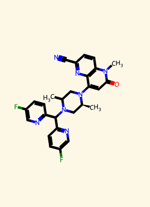 CC1CN(c2cc(=O)n(C)c3ccc(C#N)nc23)[C@@H](C)CN1C(c1ccc(F)cn1)c1ccc(F)cn1